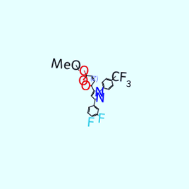 COCOC(=O)/C=C\C(=O)c1cc(-c2ccc(F)c(F)c2)nn1-c1ccc(C(F)(F)F)cc1